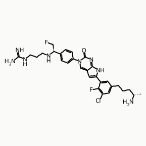 C[C@H](N)CCCc1cc(Cl)c(F)c(-c2cc3cn(-c4ccc([C@H](CF)NCCCNC(=N)N)cc4)c(=O)nc3[nH]2)c1